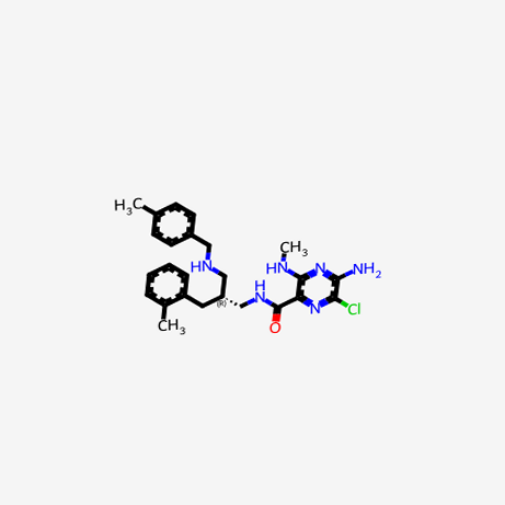 CNc1nc(N)c(Cl)nc1C(=O)NC[C@@H](CNCc1ccc(C)cc1)Cc1ccccc1C